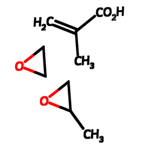 C1CO1.C=C(C)C(=O)O.CC1CO1